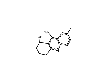 Nc1c2c(nc3ccc(F)cc13)CCCC2O